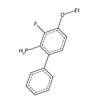 CCOc1ccc(-c2ccccc2)c(P)c1F